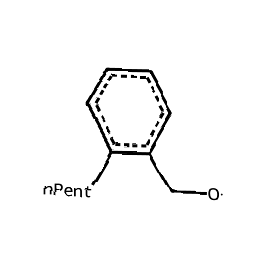 CCCCCc1ccccc1C[O]